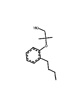 CCCCc1ccccc1OC(C)(C)CO